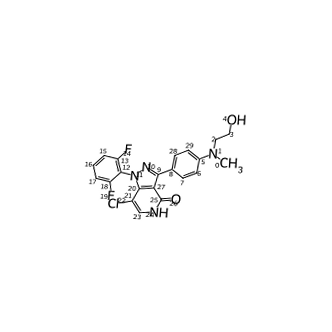 CN(CCO)c1ccc(-c2nn(-c3c(F)cccc3F)c3c(Cl)c[nH]c(=O)c23)cc1